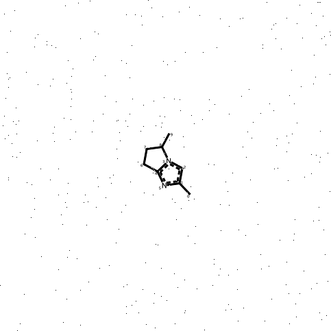 Cc1cn2c(n1)CCC2C